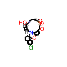 C[C@@H]1[C@@H](C)C/C=C/[C@H](O)[C@@H]2CC[C@H]2CN2C[C@@]3(CCCc4cc(Cl)ccc43)COc3ccc(cc32)C(=O)CS1(=O)=O